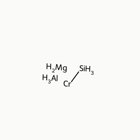 [AlH3].[MgH2].[SiH3][Cr]